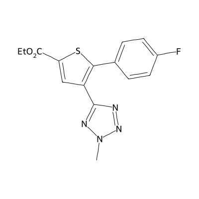 CCOC(=O)c1cc(-c2nnn(C)n2)c(-c2ccc(F)cc2)s1